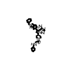 Nc1ncnn2c(C3CCN(C(=O)CNCc4ccccc4)CC3)cc(-c3ccc4cn(Cc5ccccc5)nc4c3)c12